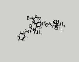 CN(C(=O)OCc1ccccc1)c1cn(COCC[Si](C)(C)C)c2ncc(Br)nc12